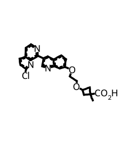 CC1(C(=O)O)CC(OCCOc2ccc3cc(-c4nccc5ccc(Cl)nc45)cnc3c2)C1